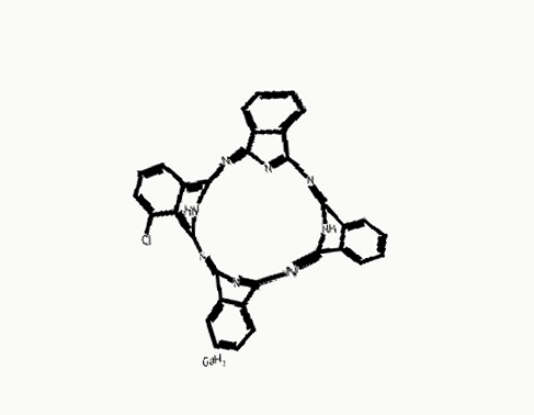 Clc1cccc2c3nc4nc(nc5[nH]c(nc6nc(nc([nH]3)c12)-c1ccccc1-6)c1ccccc51)-c1ccccc1-4.[GaH3]